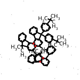 CC(C)(C)c1ccc(C2(c3ccc(C(C)(C)C)cc3)c3ccccc3-c3ccc(N(c4ccccc4-c4ccc5c(c4)C(C)(C)c4ccccc4-5)c4ccccc4-c4cccc5c4C(C)(C)c4ccccc4-5)cc32)cc1